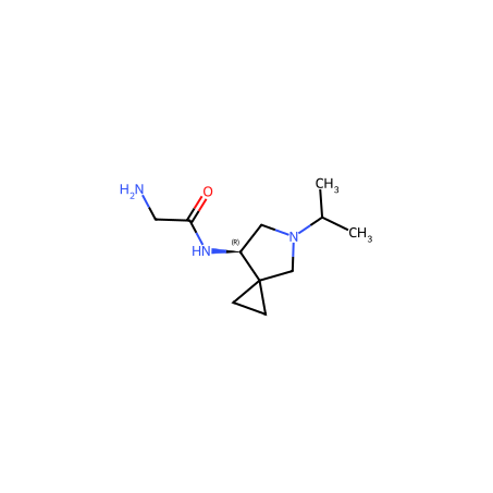 CC(C)N1C[C@H](NC(=O)CN)C2(CC2)C1